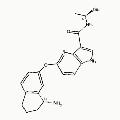 C[C@H](NC(=O)c1c[nH]c2ncc(Oc3ccc4c(c3)[C@H](N)CCC4)nc12)C(C)(C)C